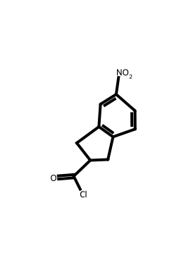 O=C(Cl)C1Cc2ccc([N+](=O)[O-])cc2C1